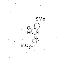 CCOC(=O)c1cnn(-c2nc3ccc(SC)cc3c(=O)[nH]2)c1